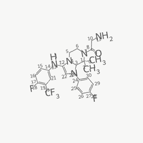 CC1(C)C2N(CCN1C(=O)CN)C(Nc1ccc(F)c(C(F)(F)F)c1)=CN2c1ccc(F)cc1